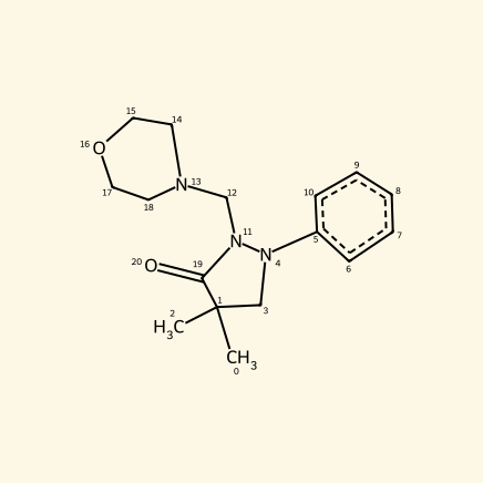 CC1(C)CN(c2ccccc2)N(CN2CCOCC2)C1=O